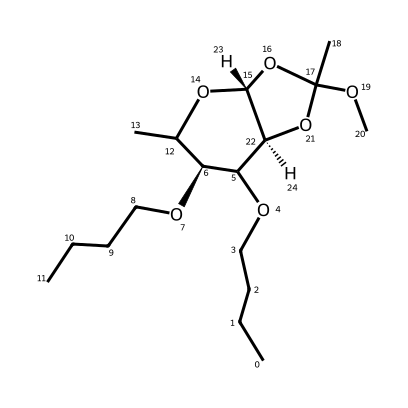 CCCCOC1[C@@H](OCCCC)C(C)O[C@@H]2OC(C)(OC)O[C@@H]12